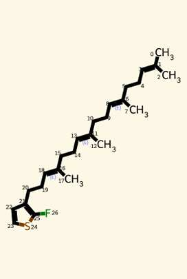 CC(C)=CCC/C(C)=C/CC/C(C)=C/CC/C(C)=C/CCc1ccsc1F